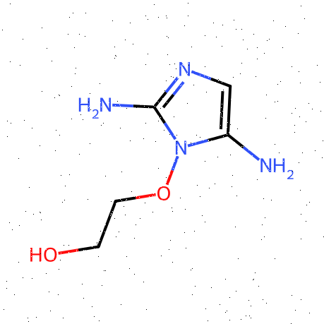 Nc1cnc(N)n1OCCO